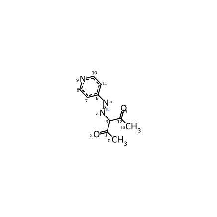 CC(=O)C(/N=N/c1ccncc1)C(C)=O